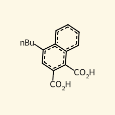 CCCCc1cc(C(=O)O)c(C(=O)O)c2ccccc12